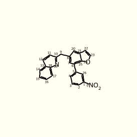 O=[N+]([O-])c1cccc(-c2cc(Cc3ccc4ccccc4n3)cc3ccoc23)c1